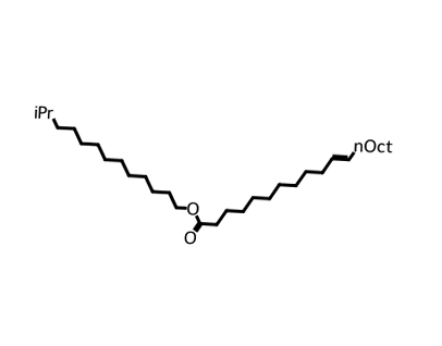 CCCCCCCCC=CCCCCCCCCCC(=O)OCCCCCCCCCCCC(C)C